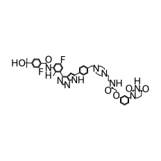 Cc1c(NC(=O)c2ccc(C(C)(C)O)cc2F)cc(F)cc1-c1ncnc2[nH]c(-c3ccc(CN4CCN(CCNC(=O)COc5cccc(N6CCC(=O)NC6=O)c5)CC4)cc3)cc12